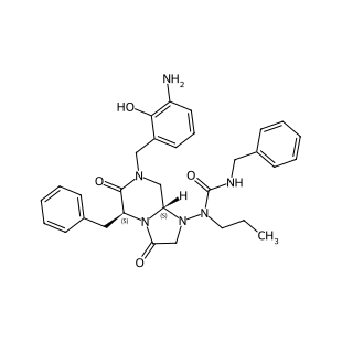 CCCN(C(=O)NCc1ccccc1)N1CC(=O)N2[C@@H](Cc3ccccc3)C(=O)N(Cc3cccc(N)c3O)C[C@@H]21